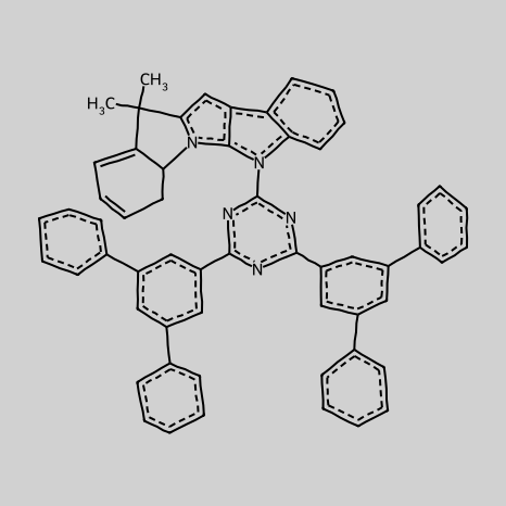 CC1(C)C2=CC=CCC2n2c1cc1c3ccccc3n(-c3nc(-c4cc(-c5ccccc5)cc(-c5ccccc5)c4)nc(-c4cc(-c5ccccc5)cc(-c5ccccc5)c4)n3)c12